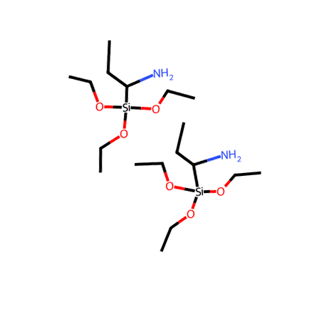 CCO[Si](OCC)(OCC)C(N)CC.CCO[Si](OCC)(OCC)C(N)CC